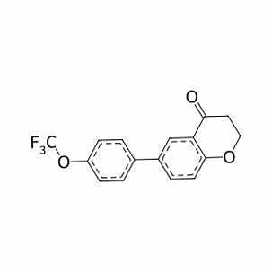 O=C1CCOc2ccc(-c3ccc(OC(F)(F)F)cc3)cc21